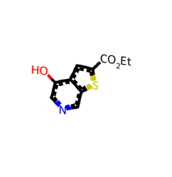 CCOC(=O)c1cc2c(O)cncc2s1